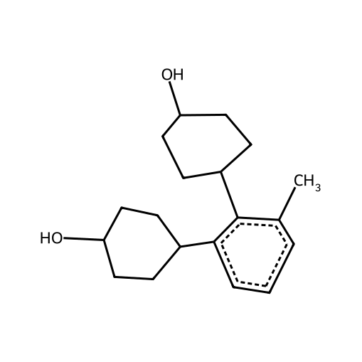 Cc1cccc(C2CCC(O)CC2)c1C1CCC(O)CC1